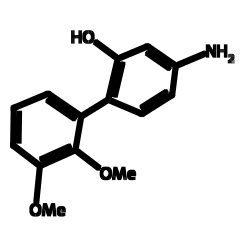 COc1cccc(-c2ccc(N)cc2O)c1OC